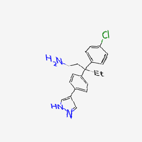 CCC(CCN)(c1ccc(Cl)cc1)c1ccc(-c2cn[nH]c2)cc1